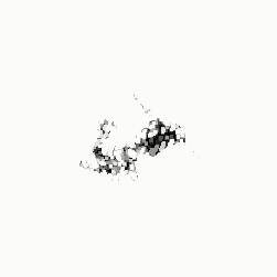 CCCCCCCNC(=O)[C@@](O)(CNC(=O)c1ccc(C(=O)N2C[C@@H](C(=O)N[C@H]3C[C@@H]3c3ccccc3)[C@H](C(=O)N[C@H]3C[C@@H]3c3ccccc3)C2)cc1)NC(=O)CCCCCCC